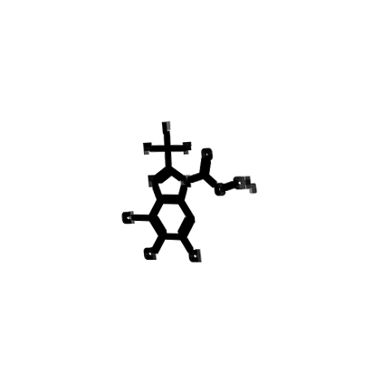 COC(=O)n1c(C(F)(F)F)nc2c(Cl)c(Cl)c(Cl)cc21